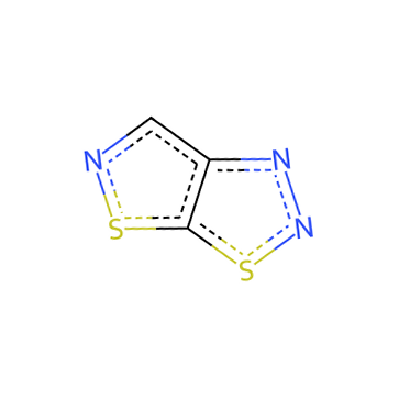 c1nsc2snnc12